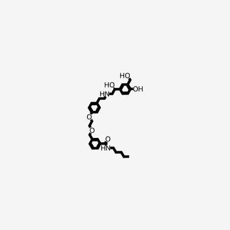 CCCCCNC(=O)c1cccc(COCCOc2ccc(CCNC[C@@H](O)c3ccc(O)c(CO)c3)cc2)c1